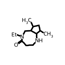 CCN1CC2C(C)CC(C)C2NCCC1=O